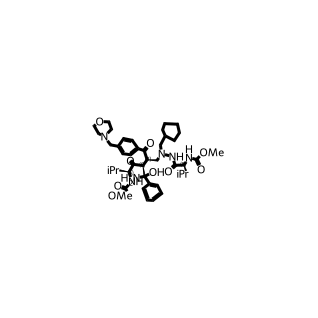 COC(=O)N[C@H](C(=O)NN(CC1CCCCC1)C[C@H](C(=O)c1ccc(CN2CCOCC2)cc1)[C@H](C(=O)[C@@H](NC(=O)OC)C(C)C)C(N)(O)c1ccccc1)C(C)C